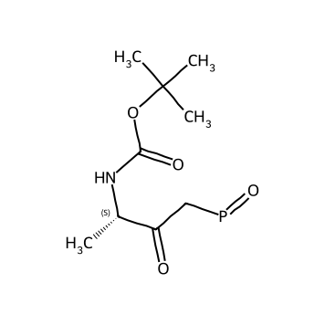 C[C@H](NC(=O)OC(C)(C)C)C(=O)CP=O